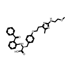 COCCNc1nc(CCOc2ccc(C[C@H](Nc3ccccc3C(=O)c3ccccc3)C(=O)O)cc2)c(C)s1